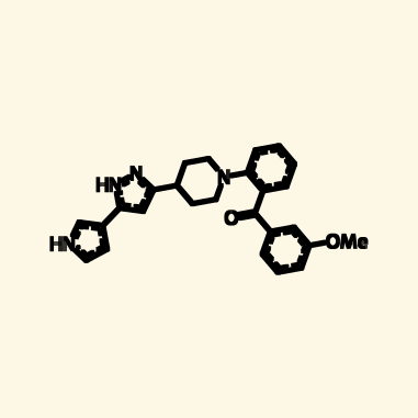 COc1cccc(C(=O)c2ccccc2N2CCC(c3cc(-c4cc[nH]c4)[nH]n3)CC2)c1